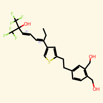 CC/C(=C\C=C\C(O)(C(F)(F)F)C(F)(F)F)c1csc(CCc2ccc(CO)c(CO)c2)c1